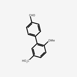 COc1ccc(C(=O)O)cc1-c1ccc(C=O)cc1